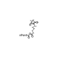 CCCCCC(=O)OC(=O)CCCCCN1C(=O)C=CC1=O